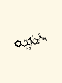 Cl.NC(=O)[C@@H]1C[C@]2(CN1)N=C(Cc1ccccc1)NC2=O